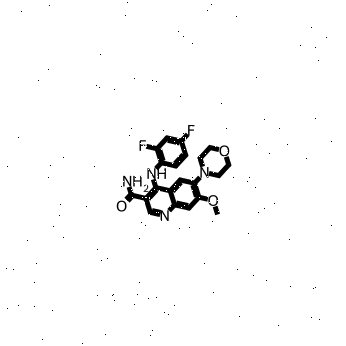 COc1cc2ncc(C(N)=O)c(Nc3ccc(F)cc3F)c2cc1N1CCOCC1